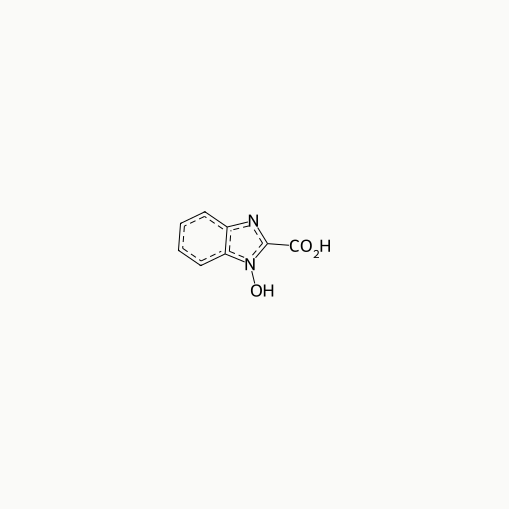 O=C(O)c1nc2ccccc2n1O